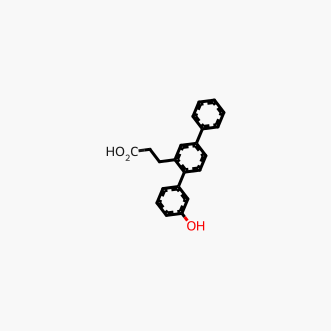 O=C(O)CCc1cc(-c2ccccc2)ccc1-c1cccc(O)c1